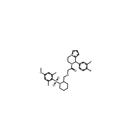 COc1cc(C)c(S(=O)(=O)N2CCCCC2COCC(=O)N2CCn3cccc3C2c2ccc(F)c(F)c2)c(C)c1